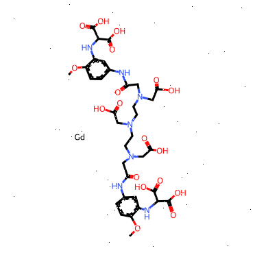 COc1ccc(NC(=O)CN(CCN(CCN(CC(=O)O)CC(=O)Nc2ccc(OC)c(NC(C(=O)O)C(=O)O)c2)CC(=O)O)CC(=O)O)cc1NC(C(=O)O)C(=O)O.[Gd]